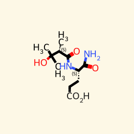 C[C@H](C(=O)N[C@@H](CCC(=O)O)C(N)=O)C(C)(C)O